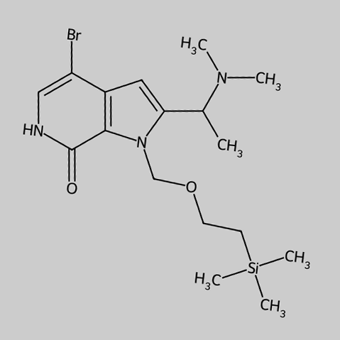 CC(c1cc2c(Br)c[nH]c(=O)c2n1COCC[Si](C)(C)C)N(C)C